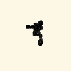 COc1ncc(CN2C3CC2CN(c2ccc(-c4cc(OCCN5CCOCC5)cn5ncc(C#N)c45)cn2)C3)cc1Cl